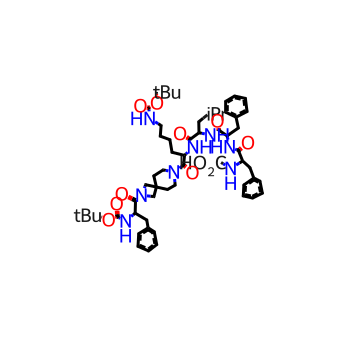 CC(C)CC(NC(=O)C(Cc1ccccc1)NC(=O)C(Cc1ccccc1)NC(=O)O)C(=O)NC(CCCCNC(=O)OC(C)(C)C)C(=O)N1CCC2(CC1)CN(C(=O)C(Cc1ccccc1)NC(=O)OC(C)(C)C)C2